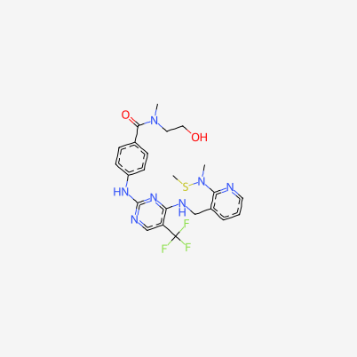 CSN(C)c1ncccc1CNc1nc(Nc2ccc(C(=O)N(C)CCO)cc2)ncc1C(F)(F)F